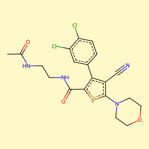 CC(=O)NCCNC(=O)c1sc(N2CCOCC2)c(C#N)c1-c1ccc(Cl)c(Cl)c1